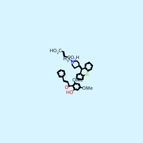 CN1CCC(=C2c3ccccc3Sc3ccccc32)CC1.COc1cc(O)c(C(=O)C=Cc2ccccc2)c(OC)c1.O=C(O)C=CC(=O)O